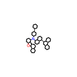 c1ccc(-c2ccc(N(c3cccc4c(-c5cc6ccccc6c6ccccc56)cccc34)c3cccc4oc5c6ccccc6ccc5c34)cc2)cc1